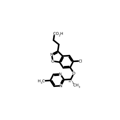 Cc1cnc([C@@H](C)Oc2cc3onc(CCC(=O)O)c3cc2Cl)nc1